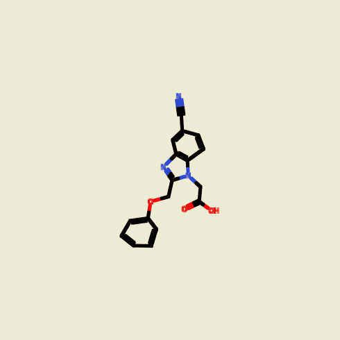 N#Cc1ccc2c(c1)nc(COc1ccccc1)n2CC(=O)O